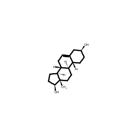 CC(=O)[C@]12CC[C@H](O)CC1=CC[C@@H]1[C@@H]2CC[C@]2(C)[C@@H](O)CC[C@@H]12